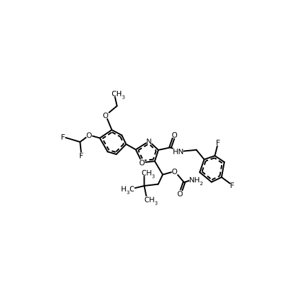 CCOc1cc(-c2nc(C(=O)NCc3ccc(F)cc3F)c(C(CC(C)(C)C)OC(N)=O)o2)ccc1OC(F)F